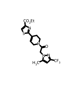 CCOC(=O)c1csc(C2=CCN(C(=O)Cn3nc(C(F)(F)F)cc3C)CC2)n1